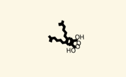 C=C(C)CCCCC1=C(CCCCC(=C)C)C2CCC1C(C(=O)O)C2C(=O)O